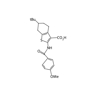 COc1ccc(C(=O)Nc2sc3c(c2C(=O)O)CCC(C(C)(C)C)C3)cc1